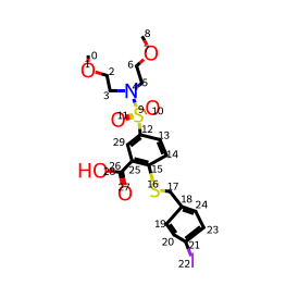 COCCN(CCOC)S(=O)(=O)c1ccc(SCc2ccc(I)cc2)c(C(=O)O)c1